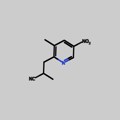 Cc1cc([N+](=O)[O-])cnc1CC(C)C#N